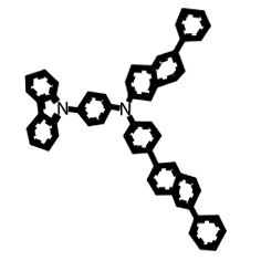 c1ccc(-c2ccc3cc(-c4ccc(N(c5ccc(-n6c7ccccc7c7ccccc76)cc5)c5ccc6cc(-c7ccccc7)ccc6c5)cc4)ccc3c2)cc1